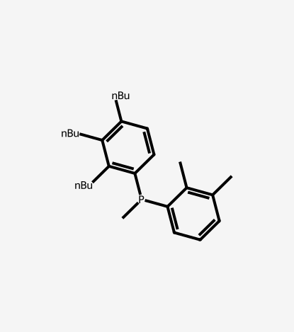 CCCCc1ccc(P(C)c2cccc(C)c2C)c(CCCC)c1CCCC